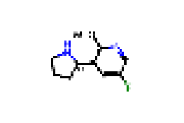 COC1N=CC(F)=CC1[C@H]1CCCN1